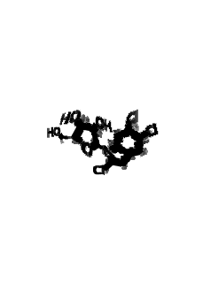 OC[C@H]1O[C@@H](n2c(Cl)cc3cc(Cl)c(Cl)cc32)C(O)C1O